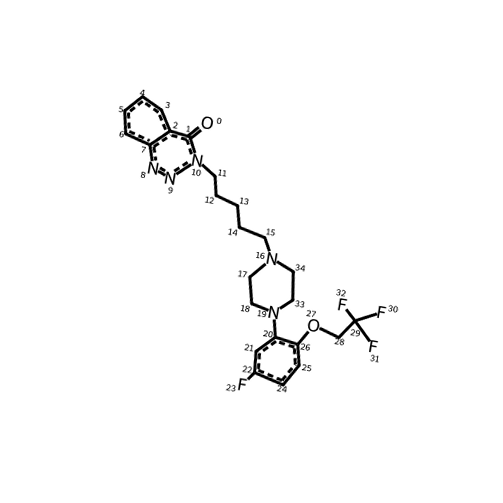 O=c1c2ccccc2nnn1CCCCCN1CCN(c2cc(F)ccc2OCC(F)(F)F)CC1